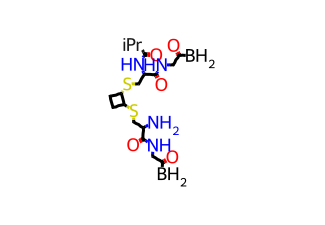 BC(=O)CNC(=O)C(N)CSC1CCC1SCC(NC(=O)C(C)C)C(=O)NCC(B)=O